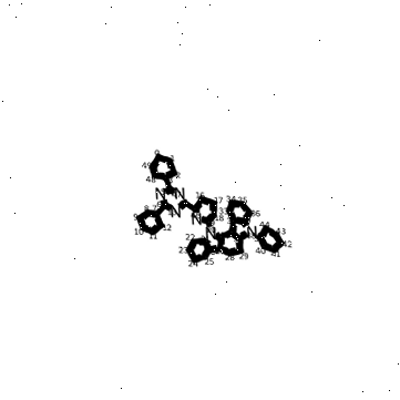 c1ccc(-c2nc(-c3ccccc3)nc(-c3cccc(-n4c5ccccc5c5ccc6c(c7ccccc7n6-c6ccccc6)c54)n3)n2)cc1